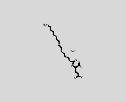 CCCCCCCCCCCCCCCC(=O)NC(CCC(=O)[O-])C(=O)[O-].[Fe+2]